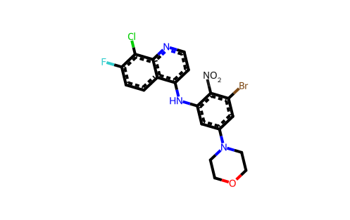 O=[N+]([O-])c1c(Br)cc(N2CCOCC2)cc1Nc1ccnc2c(Cl)c(F)ccc12